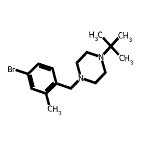 Cc1cc(Br)ccc1CN1CCN(C(C)(C)C)CC1